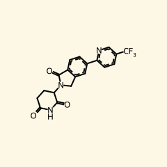 O=C1CCC(N2Cc3cc(-c4ccc(C(F)(F)F)cn4)ccc3C2=O)C(=O)N1